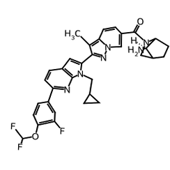 Cc1c(-c2cc3ccc(-c4ccc(OC(F)F)c(F)c4)nc3n2CC2CC2)nn2cc(C(=O)N3CC4CCC3[C@@H]4N)ccc12